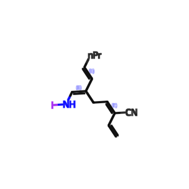 C=C/C(C#N)=C\CC(/C=C/CCC)=C\NI